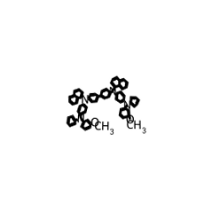 COc1cccc(N(c2ccccc2)c2ccc(N(c3ccc(-c4ccc(N(c5ccc(N(c6ccccc6)c6cccc(OC)c6)cc5)c5cccc6ccccc56)cc4)cc3)c3cccc4ccccc34)cc2)c1